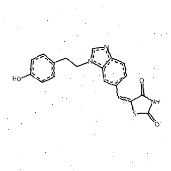 O=C1NC(=O)/C(=C\c2ccc3ncn(CCc4ccc(O)cc4)c3c2)S1